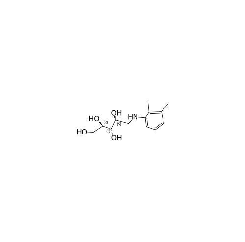 Cc1cccc(NC[C@H](O)[C@H](O)[C@H](O)CO)c1C